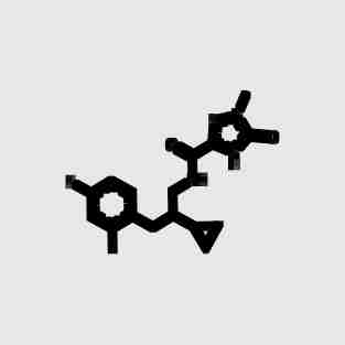 Cc1cc(F)ccc1CC(CNC(=O)c1nn(C)c(=O)[nH]1)C1CC1